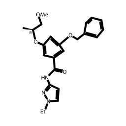 CCn1ccc(NC(=O)c2cc(OCc3ccccc3)cc(O[C@@H](C)COC)c2)n1